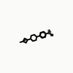 CC[SiH2]c1ccc(C2CCC(C34CC(C)(C3)C4)CC2)cc1